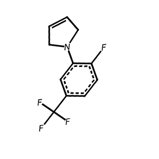 Fc1ccc(C(F)(F)F)cc1N1CC=CC1